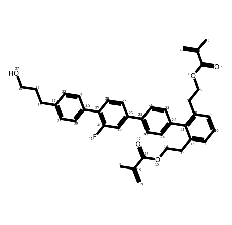 C=C(C)C(=O)OCCc1cccc(CCOC(=O)C(=C)C)c1-c1ccc(-c2ccc(-c3ccc(CCCO)cc3)c(F)c2)cc1